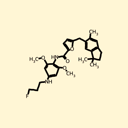 COc1cc(NCCCF)cc(OC)c1NC(=O)c1ccc(Cc2cc3c(cc2C)CCC3(C)C)o1